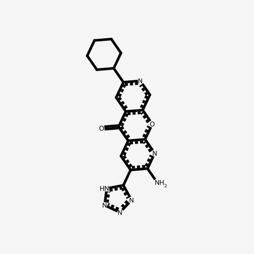 Nc1nc2oc3cnc(C4CCCCC4)cc3c(=O)c2cc1-c1nnn[nH]1